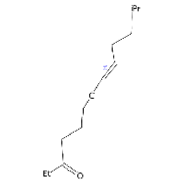 CCC(=O)CCCC/C=C/CCC(C)C